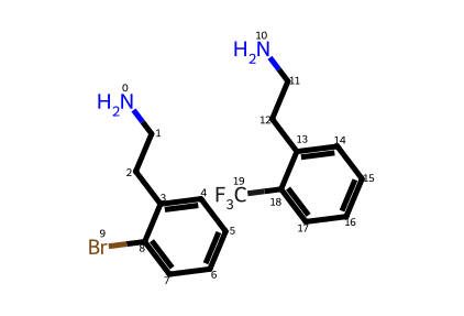 NCCc1ccccc1Br.NCCc1ccccc1C(F)(F)F